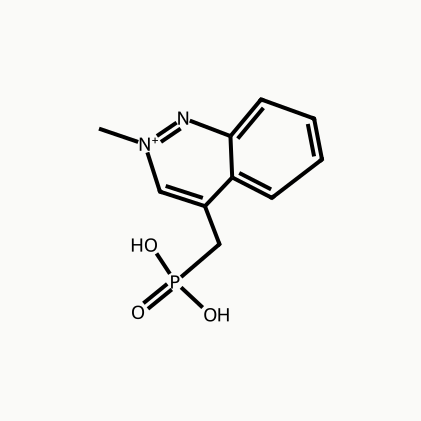 C[n+]1cc(CP(=O)(O)O)c2ccccc2n1